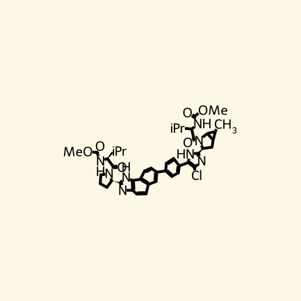 COC(=O)NC(C(=O)N1C2C(C)C2C[C@H]1c1nc(Cl)c(-c2ccc(-c3ccc4c(ccc5nc([C@@H]6CCCN6C(=O)[C@@H](NC(=O)OC)C(C)C)[nH]c54)c3)cc2)[nH]1)C(C)C